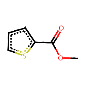 COC(=O)c1[c]ccs1